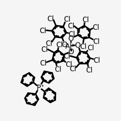 Clc1c(Cl)c(Cl)c([O][Al-]([O]c2c(Cl)c(Cl)c(Cl)c(Cl)c2Cl)([O]c2c(Cl)c(Cl)c(Cl)c(Cl)c2Cl)[O]c2c(Cl)c(Cl)c(Cl)c(Cl)c2Cl)c(Cl)c1Cl.c1ccc([P+](c2ccccc2)(c2ccccc2)c2ccccc2)cc1